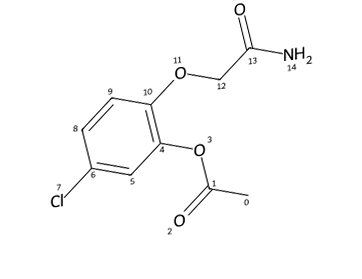 CC(=O)Oc1cc(Cl)ccc1OCC(N)=O